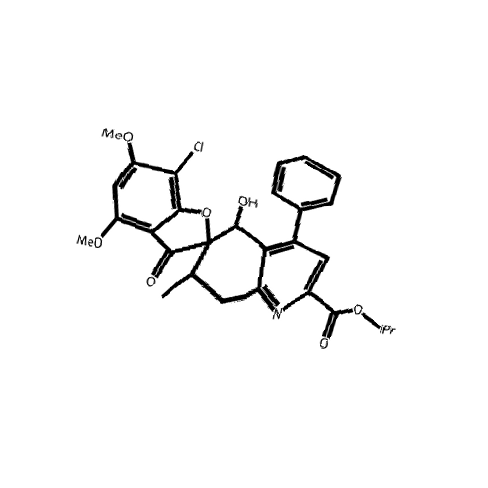 COc1cc(OC)c2c(c1Cl)OC1(C2=O)C(C)Cc2nc(C(=O)OC(C)C)cc(-c3ccccc3)c2C1O